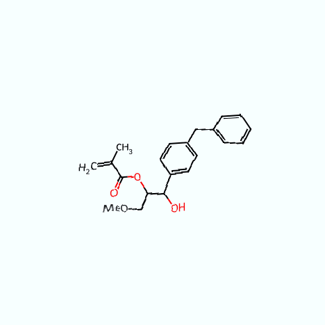 C=C(C)C(=O)OC(COC)C(O)c1ccc(Cc2ccccc2)cc1